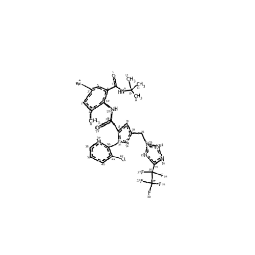 Cc1cc(Br)cc(C(=O)NC(C)(C)C)c1NC(=O)c1cc(Cn2nnc(C(F)(F)C(F)(F)F)n2)nn1-c1ncccc1Cl